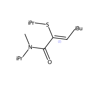 CCC(C)/C=C(\SC(C)C)C(=O)N(C)C(C)C